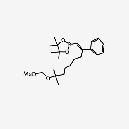 COCOC(C)(C)CCCCC/C(=C\B1OC(C)(C)C(C)(C)O1)c1ccccc1